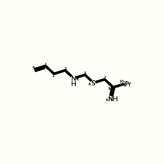 C=CCCNCSCC(=N)C(C)C